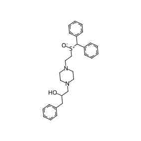 [O-][S+](CCN1CCN(CC(O)Cc2ccccc2)CC1)C(c1ccccc1)c1ccccc1